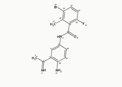 CC(=N)c1cc(NC(=O)c2c(F)ccc(Br)c2C)ccc1N